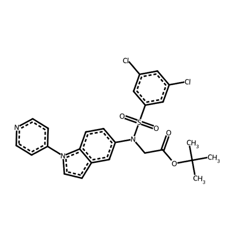 CC(C)(C)OC(=O)CN(c1ccc2c(ccn2-c2ccncc2)c1)S(=O)(=O)c1cc(Cl)cc(Cl)c1